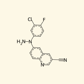 N#Cc1cnc2ccc(N(N)c3ccc(F)c(Cl)c3)cc2c1